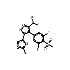 Cc1nc(-c2noc(C(F)F)c2-c2cc(F)c(S(C)(=O)=O)c(F)c2)cs1